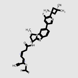 C#C/C(=C\C=C/CC(=O)N[C@@H]1C[C@H](C)n2c1nc1ccc(-c3cnc([C@]4(N)C[C@@](C)(C#N)C4)c(F)c3)cc12)OC(F)F